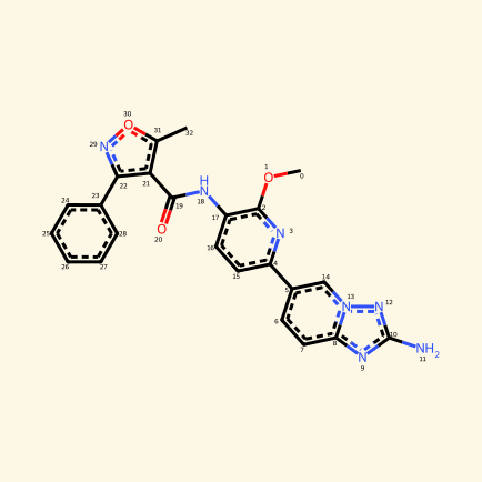 COc1nc(-c2ccc3nc(N)nn3c2)ccc1NC(=O)c1c(-c2ccccc2)noc1C